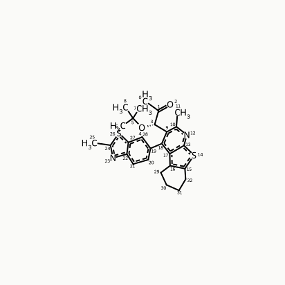 CC(=O)[C@@H](OC(C)(C)C)c1c(C)nc2sc3c(c2c1-c1ccc2nc(C)sc2c1)CCCC3